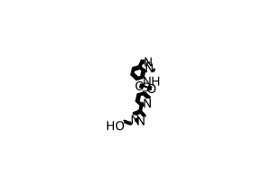 Cn1ncc2cccc(NS(=O)(=O)c3ccc(-c4cnn(CCO)c4)nc3)c21